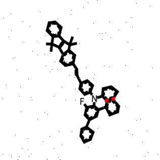 CC1(C)C2=C(c3ccccc31)C(C)(C)c1cc(/C=C/c3ccc(N(c4ccccc4)c4c(F)cc(-c5ccccc5)cc4-c4ccccc4)cc3)ccc12